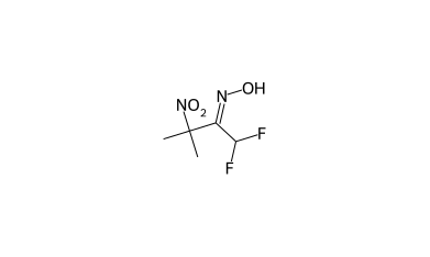 CC(C)(C(=NO)C(F)F)[N+](=O)[O-]